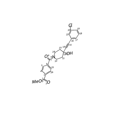 COC(=O)c1ccc(C(=O)N2CCC(O)(C#Cc3cccc(Cl)c3)CC2)cc1